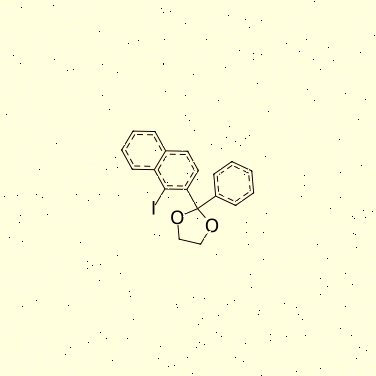 Ic1c(C2(c3ccccc3)OCCO2)ccc2ccccc12